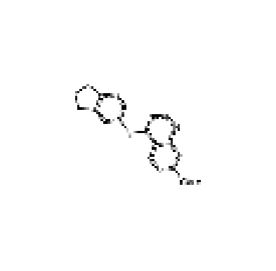 COc1ccc2c(Sc3ccc4c(c3)CCC4)ncnc2n1